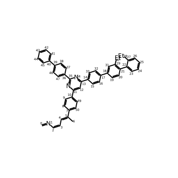 C=N/C=C\C=C(/C)c1ccc(-c2cc(-c3ccc(-c4ccc(-c5ccccc5CC)c(CC)c4)cc3)nc(-c3ccc(-c4ccccc4)cc3)n2)cc1